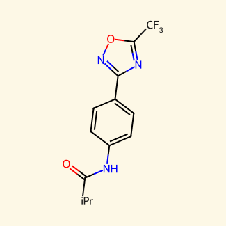 CC(C)C(=O)Nc1ccc(-c2noc(C(F)(F)F)n2)cc1